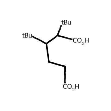 CC(C)(C)C(CCC(=O)O)C(C(=O)O)C(C)(C)C